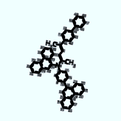 C/C(=C\C=C(/C)N(c1ccc(-c2cc3ccccc3c3ccccc23)cc1)c1cc2ccccc2c2ccccc12)c1ccc(-c2ccccc2)cc1